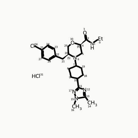 CCNC(=O)[C@H]1CN(C2CCC(c3nc(C)n(C)n3)CC2)[C@@H](Cc2ccc(Cl)cc2)CO1.Cl